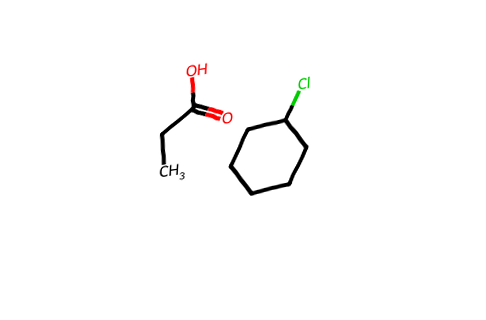 CCC(=O)O.ClC1CCCCC1